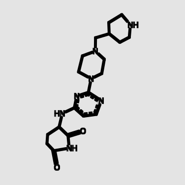 O=C1CCC(Nc2ccnc(N3CCN(CC4CCNCC4)CC3)n2)C(=O)N1